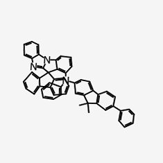 CC1(C)c2cc(-c3ccccc3)ccc2-c2ccc(N(c3ccccc3)c3cccc4c3C3(c5ccccc5-c5ccccc53)c3nc5ccccc5n3-4)cc21